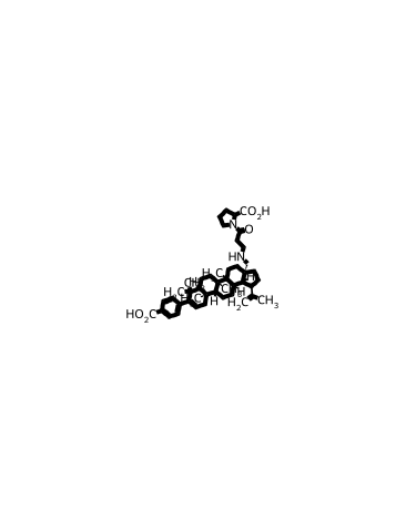 C=C(C)[C@@H]1CC[C@]2(CNCCC(=O)N3CCCC3C(=O)O)CC[C@]3(C)[C@H](CC[C@@H]4[C@@]5(C)CC=C(c6ccc(C(=O)O)cc6)C(C)(C)[C@@H]5CC[C@]43C)[C@@H]12